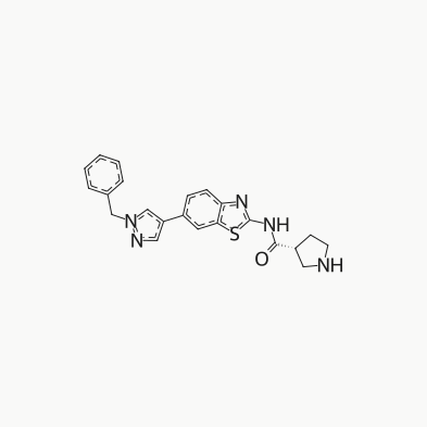 O=C(Nc1nc2ccc(-c3cnn(Cc4ccccc4)c3)cc2s1)[C@@H]1CCNC1